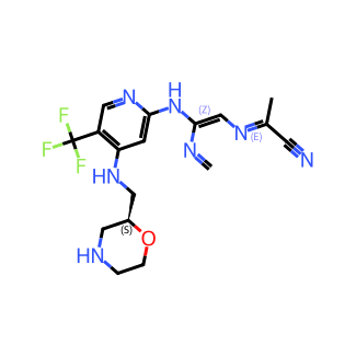 C=N/C(=C\N=C(/C)C#N)Nc1cc(NC[C@@H]2CNCCO2)c(C(F)(F)F)cn1